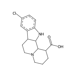 O=C(O)C1CCCN2CCC3c4cc(Cl)ccc4NC3C12